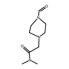 CN(C)C(=O)CN1CCN([C]=O)CC1